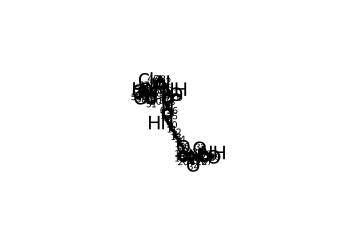 COc1cc(N2CCC(NCCCCCCOc3cccc4c3CN(C3CCC(=O)NC3=O)C4=O)CC2)ccc1Nc1ncc(Cl)c(Nc2ccccc2P(=O)(OC)OC)n1